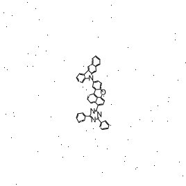 c1ccc(-c2nc(-c3ccccc3)nc(-c3ccc4c5c(cccc35)-c3cc(-n5c6ccccc6c6cc7ccccc7cc65)ccc3O4)n2)cc1